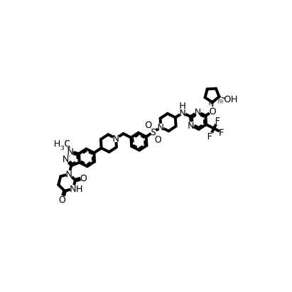 Cn1nc(N2CCC(=O)NC2=O)c2ccc(C3CCN(Cc4cccc(S(=O)(=O)N5CCC(Nc6ncc(C(F)(F)F)c(O[C@@H]7CCC[C@@H]7O)n6)CC5)c4)CC3)cc21